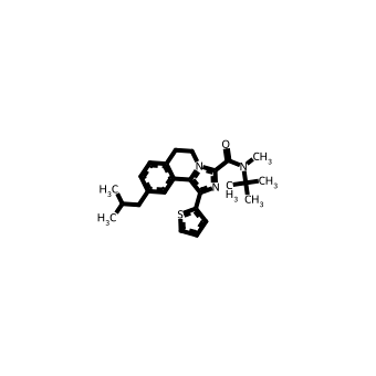 CC(C)Cc1ccc2c(c1)-c1c(-c3cccs3)nc(C(=O)N(C)C(C)(C)C)n1CC2